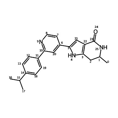 CC1Cc2[nH]c(-c3ccnc(-c4ccc(C(C)C)cc4)c3)cc2C(=O)N1